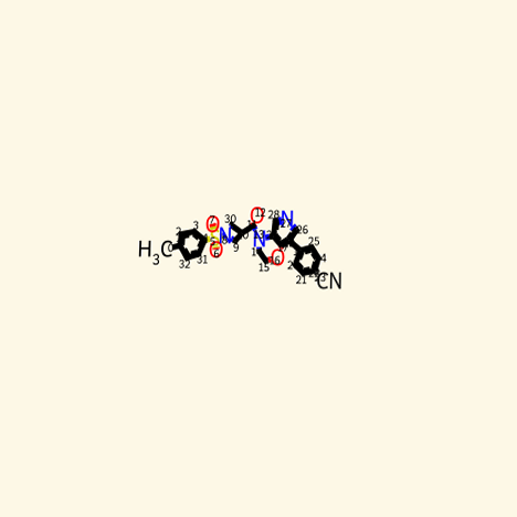 Cc1ccc(S(=O)(=O)N2CC(C(=O)N3CCOc4c(-c5ccc(C#N)cc5)cncc43)C2)cc1